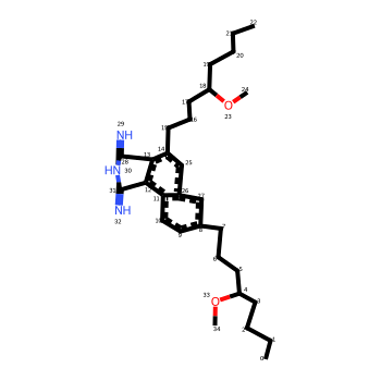 CCCCC(CCCc1ccc2c3c(c(CCCC(CCCC)OC)cc2c1)C(=N)NC3=N)OC